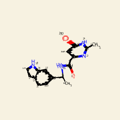 Cc1nc(C(=O)NC(C)c2ccc3cc[nH]c3c2)cc(=O)[nH]1